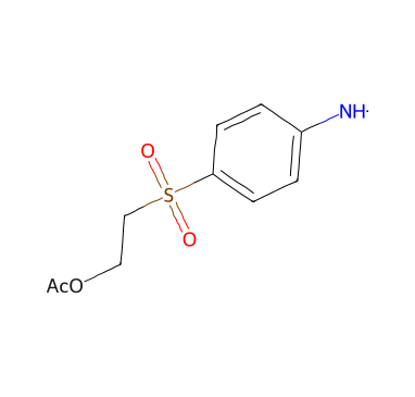 CC(=O)OCCS(=O)(=O)c1ccc([NH])cc1